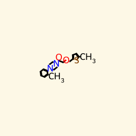 Cc1ccc(COCC(=O)N2CCN(c3ccccc3C)CC2)s1